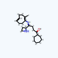 C/C1=C(\N=C(\CCC(=O)C2CCCCCC2)C2CCN2)CC/C=C/CC1